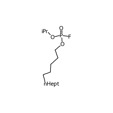 CCCCCCCCCCCCOP(=O)(F)OC(C)C